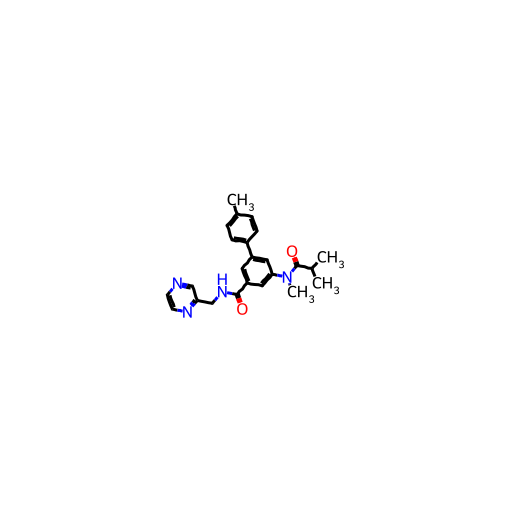 Cc1ccc(-c2cc(C(=O)NCc3cnccn3)cc(N(C)C(=O)C(C)C)c2)cc1